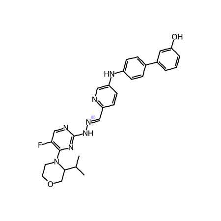 CC(C)C1COCCN1c1nc(N/N=C/c2ccc(Nc3ccc(-c4cccc(O)c4)cc3)cn2)ncc1F